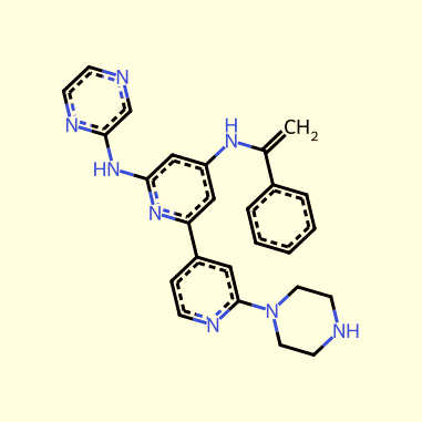 C=C(Nc1cc(Nc2cnccn2)nc(-c2ccnc(N3CCNCC3)c2)c1)c1ccccc1